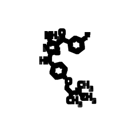 CC(COc1ccc(Nc2nc(N)c(C(=O)c3cccc(F)c3)s2)cc1)N(C)C